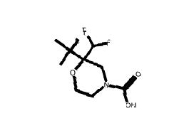 CC(C)(C)C1(C(F)F)CN(C(=O)O)CCO1